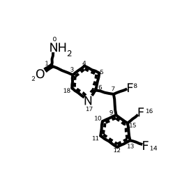 NC(=O)c1ccc(C(F)c2cccc(F)c2F)nc1